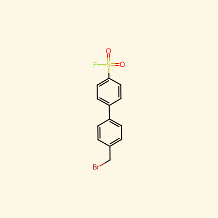 O=S(=O)(F)c1ccc(-c2ccc(CBr)cc2)cc1